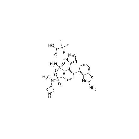 CN(C1CNC1)S(=O)(=O)c1ccc(-c2cccc3sc(N)nc23)c(-c2nnn[nH]2)c1S(N)(=O)=O.O=C(O)C(F)(F)F